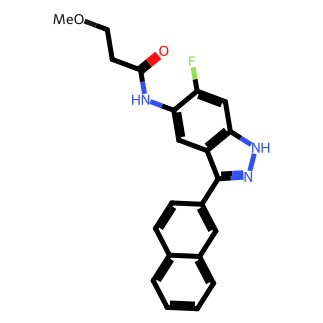 COCCC(=O)Nc1cc2c(-c3ccc4ccccc4c3)n[nH]c2cc1F